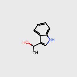 N#CC(O)c1c[nH]c2ccccc12